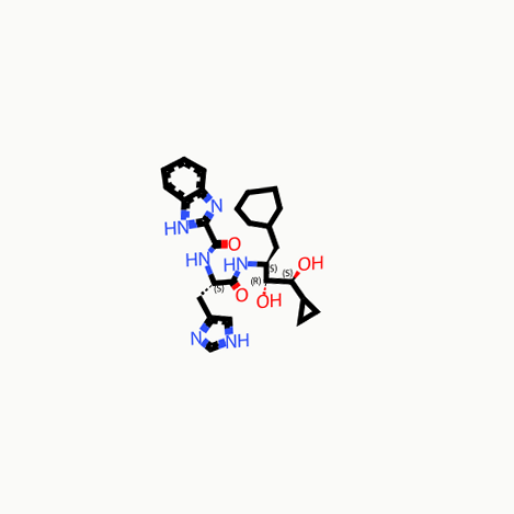 O=C(N[C@@H](Cc1c[nH]cn1)C(=O)N[C@@H](CC1CCCCC1)[C@@H](O)[C@@H](O)C1CC1)c1nc2ccccc2[nH]1